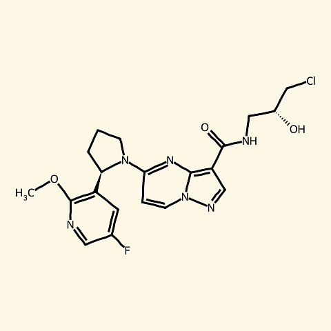 COc1ncc(F)cc1[C@H]1CCCN1c1ccn2ncc(C(=O)NC[C@@H](O)CCl)c2n1